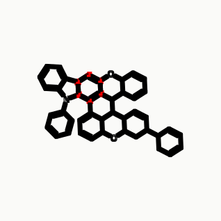 C1=CCC(C2C=CC3C(C2)OC2C=CC=C(C4=CC=CC5c6ccccc6N(c6ccccc6)C45)C2C3C2C3CCCC=C3OC3C=CC=CC32)C=C1